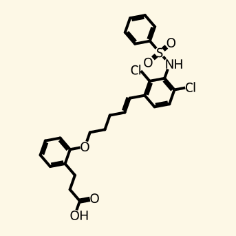 O=C(O)CCc1ccccc1OCCC/C=C/c1ccc(Cl)c(NS(=O)(=O)c2ccccc2)c1Cl